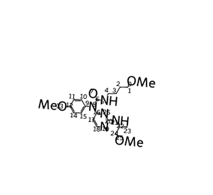 COCCCCNC(=O)N(c1ccc(OC)cc1)c1ccnc(N[C@@H](C)COC)n1